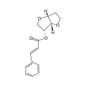 O=C(/C=C/c1ccccc1)O[C@@H]1CO[C@@H]2CCO[C@@H]21